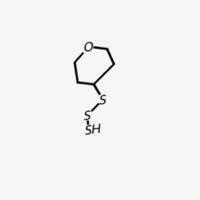 SSSC1CCOCC1